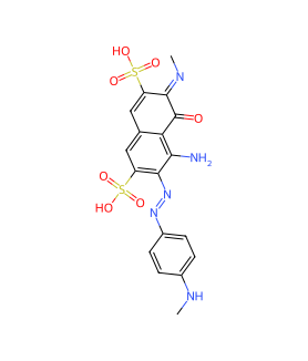 C/N=C1/C(=O)c2c(cc(S(=O)(=O)O)c(/N=N/c3ccc(NC)cc3)c2N)C=C1S(=O)(=O)O